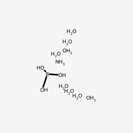 N.O.O.O.O.O.O.O.O.OB(O)O